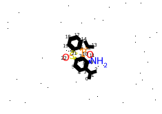 CC(C)c1ccc2c(c1N)P(=O)(C(C)C)c1ccccc1[S+]2[O-]